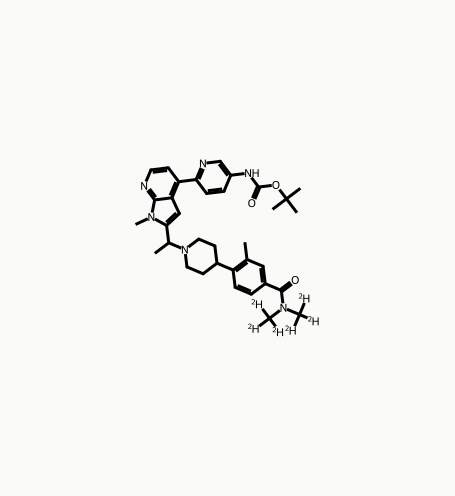 [2H]C([2H])([2H])N(C(=O)c1ccc(C2CCN(C(C)c3cc4c(-c5ccc(NC(=O)OC(C)(C)C)cn5)ccnc4n3C)CC2)c(C)c1)C([2H])([2H])[2H]